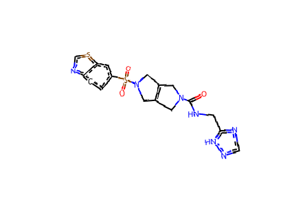 O=C(NCc1ncn[nH]1)N1CC2=C(C1)CN(S(=O)(=O)c1ccc3ncsc3c1)C2